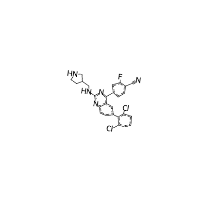 N#Cc1ccc(-c2nc(NCC3CCNC3)nc3ccc(-c4c(Cl)cccc4Cl)cc23)cc1F